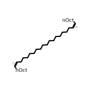 CCCCCCCC/C=C\CCCCCCCCCCCCCCCC/C=C\CCCCCCCC